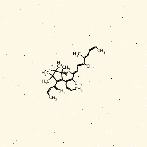 C=C(/C=C\C)C1=C(C(/C=C\C)=C(C)\C(C)=C\C=C(C)\C(C)=C\C=C/C)C(C)(F)C(C)(C)C1(C)C